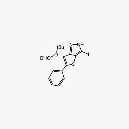 CC(C)(C)OC=O.Ic1[nH]nc2cc(-c3ccccc3)sc12